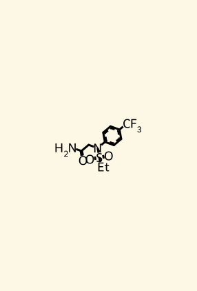 CCS(=O)(=O)N(CC(N)=O)c1ccc(C(F)(F)F)cc1